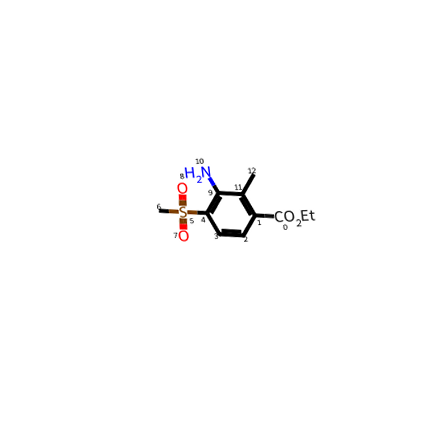 CCOC(=O)c1ccc(S(C)(=O)=O)c(N)c1C